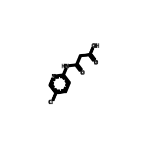 O=C(O)CC(=O)Nc1ccc(Cl)cn1